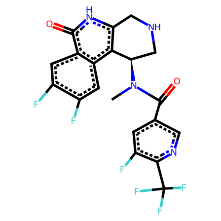 CN(C(=O)c1cnc(C(F)(F)F)c(F)c1)[C@@H]1CNCc2[nH]c(=O)c3cc(F)c(F)cc3c21